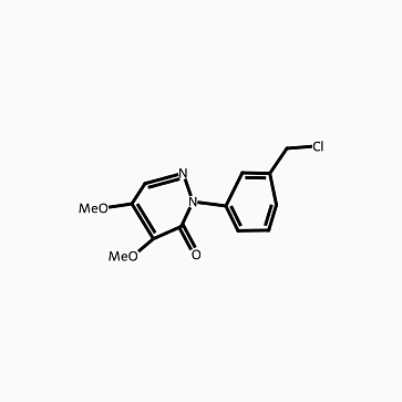 COc1cnn(-c2cccc(CCl)c2)c(=O)c1OC